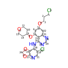 ClCCCOc1cc(OC2CCOCC2)c2c(Nc3c(Cl)cnc4c3OCO4)ncnc2c1